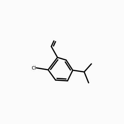 C=Cc1cc(C(C)C)ccc1Cl